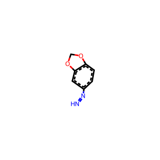 N=Nc1ccc2c(c1)OCO2